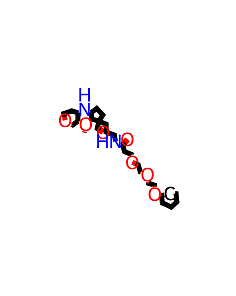 COC1COCCC1NC1CCC(C=O)(CCCNC(=O)CCOCCOCCOC2CCCCC2)C1